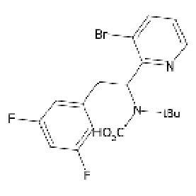 CC(C)(C)N(C(=O)O)C(Cc1cc(F)cc(F)c1)c1ncccc1Br